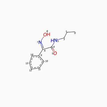 CCCNC(=O)C(=NO)c1ccccc1